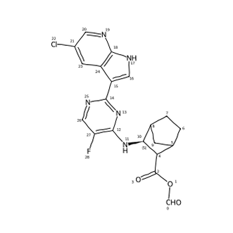 O=COC(=O)C1C2CCC(C2)[C@@H]1Nc1nc(-c2c[nH]c3ncc(Cl)cc23)ncc1F